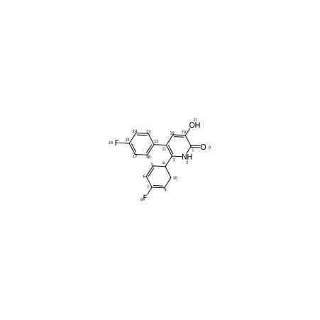 O=c1[nH]c(C2C=CC(F)=CC2)c(-c2ccc(F)cc2)cc1O